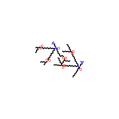 CCCCCCCCC(=O)N(CCCN(C)C)C(CCCCCCCCCOC(=O)C(CCCCCC)CCCCCC)CCCCCCCCCOC(=O)C(CCCCCC)C(CCCCC)CCC(CCCC)C(=O)OCCCCCCCCC(=O)N(CCCN(C)C)C(CCCCCCCCC(=O)OCC(CC)CCCC)CCCCCCCCC(=O)OCC(CC)CCCC